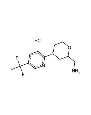 Cl.NCC1CN(c2ccc(C(F)(F)F)cn2)CCO1